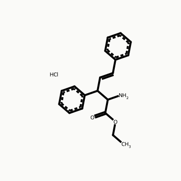 CCOC(=O)C(N)C(C=Cc1ccccc1)c1ccccc1.Cl